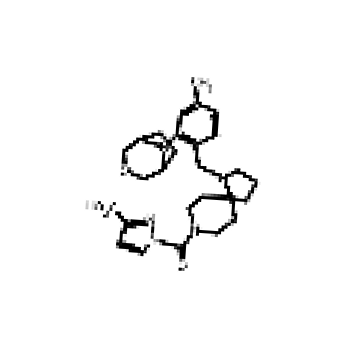 Cc1ccc(CN2CCCC23CCN(C(=O)n2ccc(C(=O)O)n2)CC3)c(N2C3CCC2COC3)c1